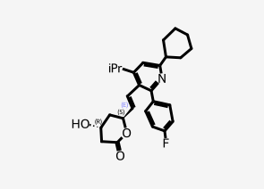 CC(C)c1cc(C2CCCCC2)nc(-c2ccc(F)cc2)c1/C=C/[C@@H]1C[C@@H](O)CC(=O)O1